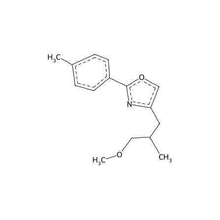 COC[C](C)Cc1coc(-c2ccc(C)cc2)n1